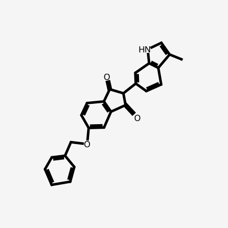 Cc1c[nH]c2cc(C3C(=O)c4ccc(OCc5ccccc5)cc4C3=O)ccc12